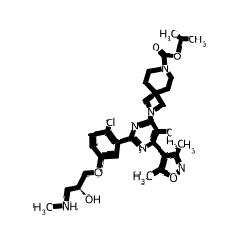 CNC[C@@H](O)COc1ccc(Cl)c(-c2nc(-c3c(C)noc3C)c(C)c(N3CC4(CCN(C(=O)OC(C)C)CC4)C3)n2)c1